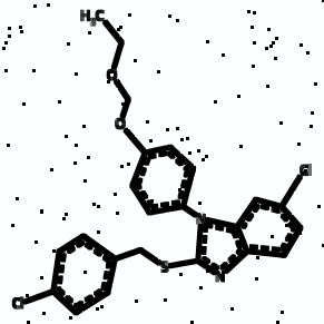 CCOCOc1ccc(-n2c(SCc3ccc(Cl)cc3)nc3ccc(Cl)cc32)cc1